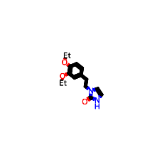 CCOc1ccc(CCn2cc[nH]c2=O)cc1OCC